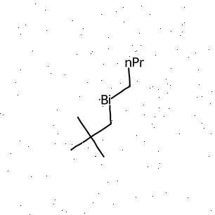 CCC[CH2][Bi][CH2]C(C)(C)C